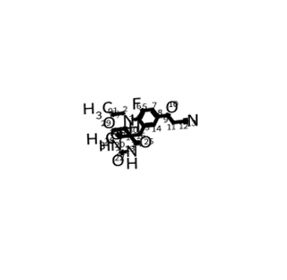 C[C@@H]1CN2c3c(F)cc(C(=O)CC#N)cc3CC3(C(=O)NC(=O)NC3=O)[C@H]2[C@H](C)O1